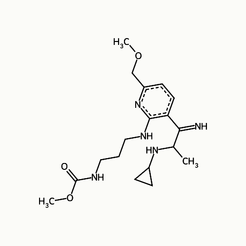 COCc1ccc(C(=N)C(C)NC2CC2)c(NCCCNC(=O)OC)n1